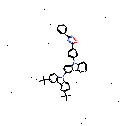 CC(C)(C)c1ccc2c(c1)c1cc(C(C)(C)C)ccc1n2-c1ccc2c(c1)c1ccccc1n2-c1ccc(-c2nc(-c3ccccc3)no2)cc1